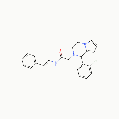 O=C(CN1CCn2cccc2C1c1ccccc1Cl)NC=Cc1ccccc1